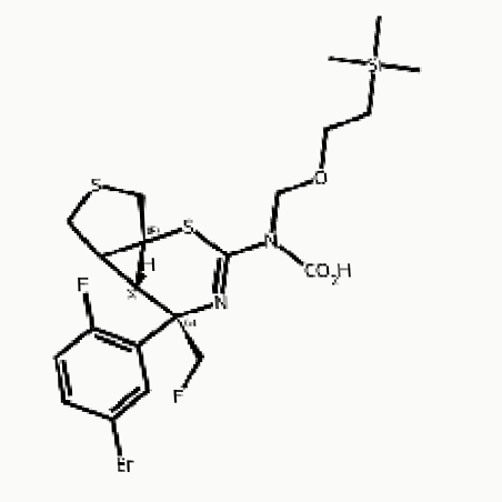 C[Si](C)(C)CCOCN(C(=O)O)C1=N[C@](CF)(c2cc(Br)ccc2F)[C@@H]2C3CSC[C@]32S1